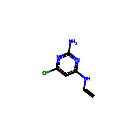 C=CNc1cc(Cl)nc(N)n1